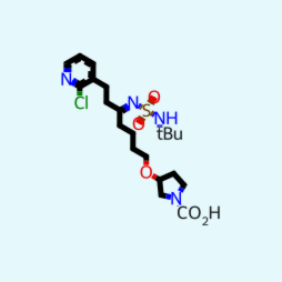 CC(C)(C)NS(=O)(=O)N=C(CCCCOC1CCN(C(=O)O)C1)CCc1cccnc1Cl